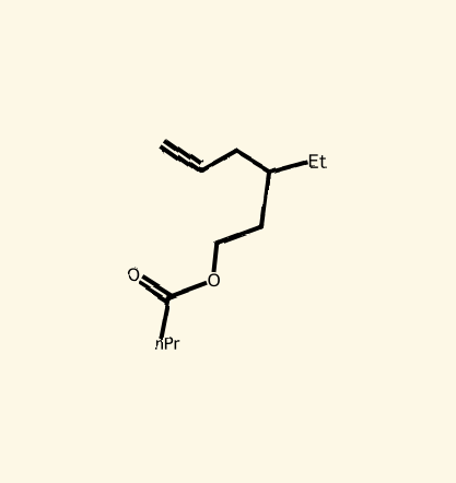 C=CCC(CC)CCOC(=O)CCC